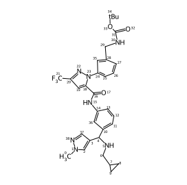 Cn1cc(C(NCC2CC2)c2cccc(NC(=O)c3cc(C(F)(F)F)nn3-c3cccc(CNC(=O)OC(C)(C)C)c3)c2)cn1